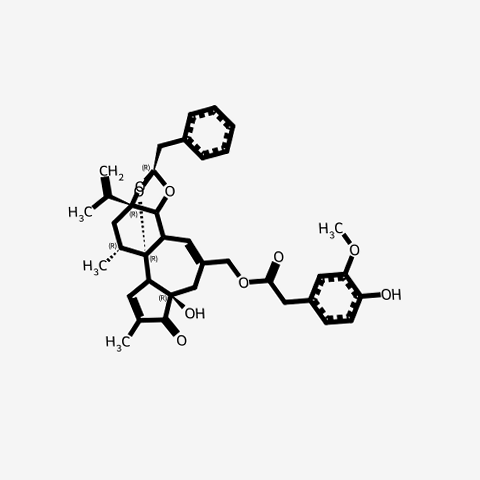 C=C(C)[C@]12C[C@@H](C)[C@@]34O[C@@](Cc5ccccc5)(OC1C3C=C(COC(=O)Cc1ccc(O)c(OC)c1)C[C@]1(O)C(=O)C(C)=CC41)O2